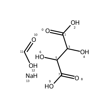 O=C(O)C(O)C(O)C(=O)O.O=CO.[NaH]